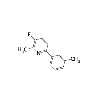 Cc1cccc(-c2ccc(F)c(C)n2)c1